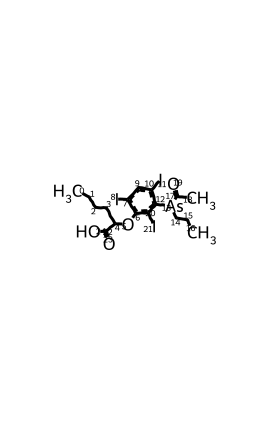 CCCCC(Oc1c(I)cc(I)c([As](CCC)C(C)=O)c1I)C(=O)O